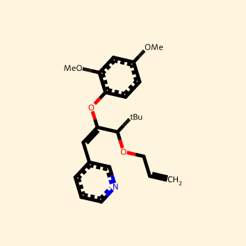 C=CCOC(/C(=C\c1cccnc1)Oc1ccc(OC)cc1OC)C(C)(C)C